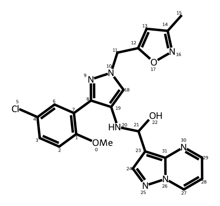 COc1ccc(Cl)cc1-c1nn(Cc2cc(C)no2)cc1NC(O)c1cnn2cccnc12